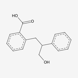 O=C(O)c1ccccc1CC(CO)c1ccccc1